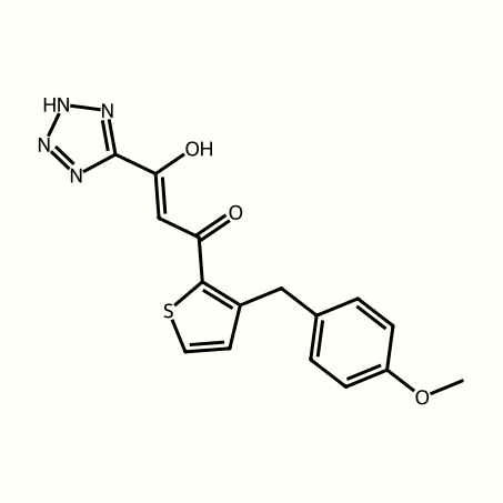 COc1ccc(Cc2ccsc2C(=O)C=C(O)c2nn[nH]n2)cc1